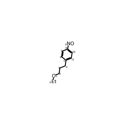 CCOCCCc1ccc(N=O)cc1